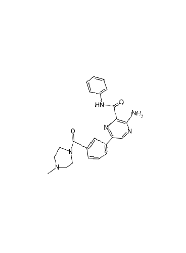 CN1CCN(C(=O)c2cccc(-c3cnc(N)c(C(=O)Nc4ccccc4)n3)c2)CC1